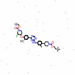 Cc1cc(Nc2ncnc(-c3ccc(O[C@H]4CCN(C(=O)OC(C)(C)C)C[C@H]4F)c(C#N)c3)n2)ccc1C1CCN(C(=O)OCC[Si](C)(C)C)CC1